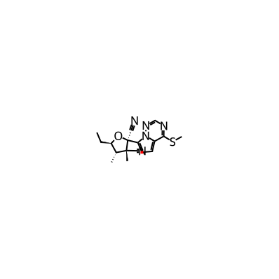 CC[C@H]1O[C@@](C#N)(c2ccc3c(SC)ncnn23)[C@](C)(C#N)[C@@H]1C